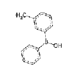 [CH2]c1cccc(B(O)c2ccccc2)c1